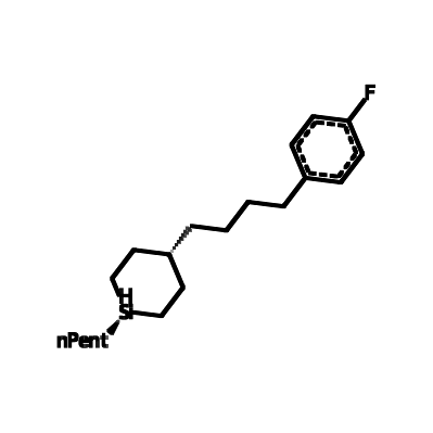 CCCCC[Si@H]1CC[C@H](CCCCc2ccc(F)cc2)CC1